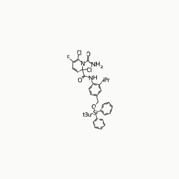 CC(C)c1cc(CO[Si](c2ccccc2)(c2ccccc2)C(C)(C)C)ccc1NC(=O)C1(Cl)C=CC(F)=C(Cl)N1C(N)=O